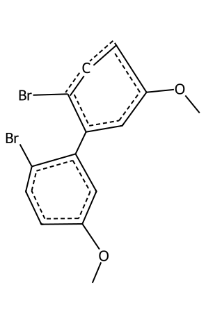 COc1ccc(Br)c(-c2cc(OC)ccc2Br)c1